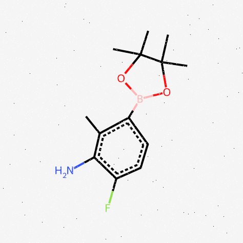 Cc1c(B2OC(C)(C)C(C)(C)O2)ccc(F)c1N